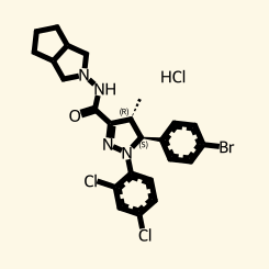 C[C@H]1C(C(=O)NN2CC3CCCC3C2)=NN(c2ccc(Cl)cc2Cl)[C@@H]1c1ccc(Br)cc1.Cl